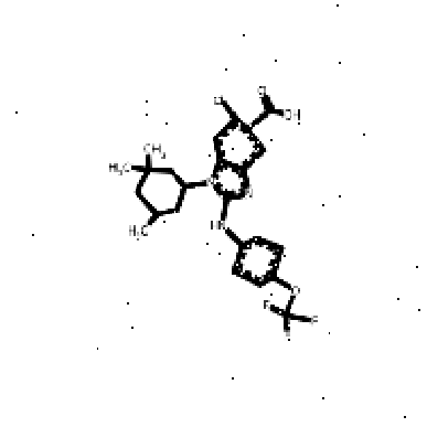 CC1CC(n2c(Nc3ccc(OC(F)(F)F)cc3)nc3cc(C(=O)O)c(Cl)cc32)CC(C)(C)C1